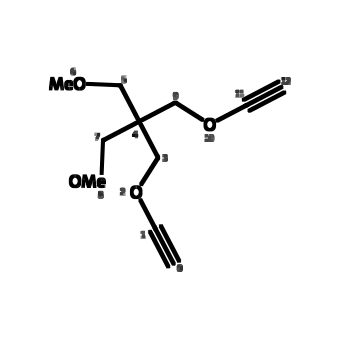 C#COCC(COC)(COC)COC#C